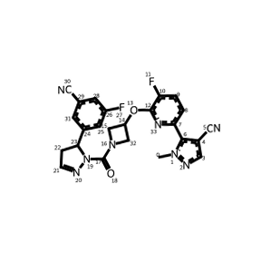 Cn1ncc(C#N)c1-c1ccc(F)c(OC2CN(C(=O)N3N=CCC3c3cc(F)cc(C#N)c3)C2)n1